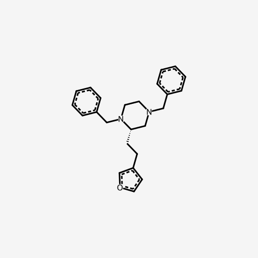 c1ccc(CN2CCN(Cc3ccccc3)[C@@H](CCc3ccoc3)C2)cc1